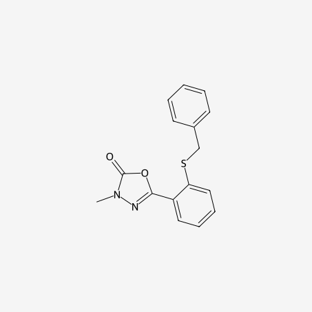 Cn1nc(-c2ccccc2SCc2ccccc2)oc1=O